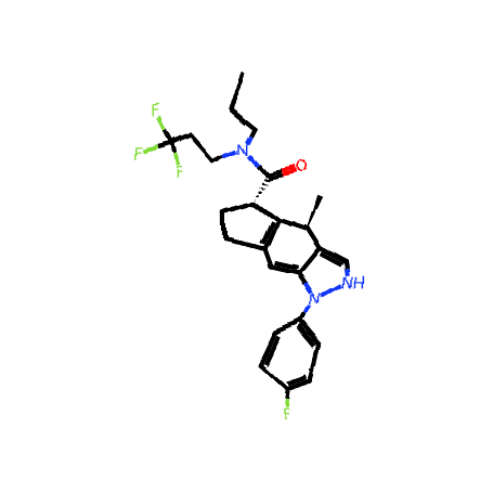 CCCN(CCC(F)(F)F)C(=O)[C@H]1CCC2=C1[C@@H](C)C1=CNN(c3ccc(F)cc3)C1=C2